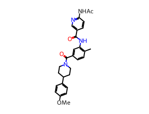 COc1ccc(C2CCN(C(=O)c3ccc(C)c(NC(=O)c4ccc(NC(C)=O)nc4)c3)CC2)cc1